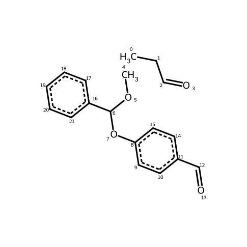 CCC=O.COC(Oc1ccc(C=O)cc1)c1ccccc1